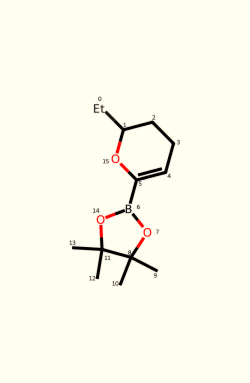 CCC1CCC=C(B2OC(C)(C)C(C)(C)O2)O1